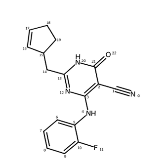 N#Cc1c(Nc2ccccc2F)nc(CC2C=CCC2)[nH]c1=O